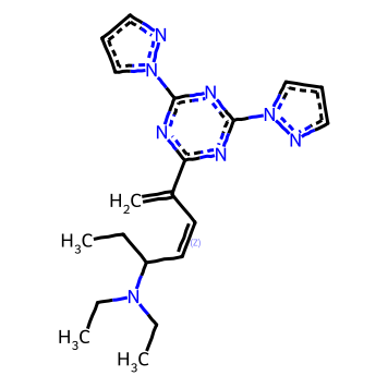 C=C(/C=C\C(CC)N(CC)CC)c1nc(-n2cccn2)nc(-n2cccn2)n1